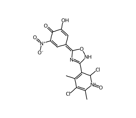 CC1=C(C2=N/C(=C3/C=C(O)C(=O)C([N+](=O)[O-])=C3)ON2)C(Cl)[N+](=O)C(C)=C1Cl